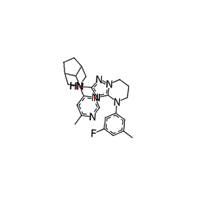 Cc1cc(F)cc(N2CCCn3nc(NC4C5CCC4CN(c4cc(C)ncn4)C5)nc32)c1